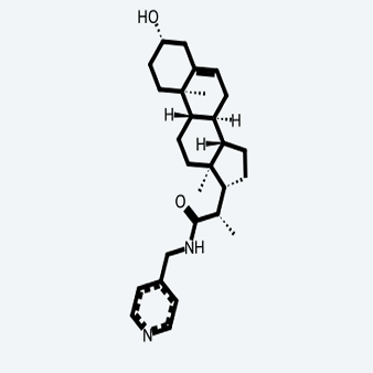 C[C@H](C(=O)NCc1ccncc1)[C@H]1CC[C@H]2[C@@H]3CC=C4C[C@@H](O)CC[C@]4(C)[C@H]3CC[C@]12C